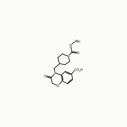 CC(C)(C)OC(=O)N1CCC(CN2C(=O)COc3ccc(C(=O)O)cc32)CC1